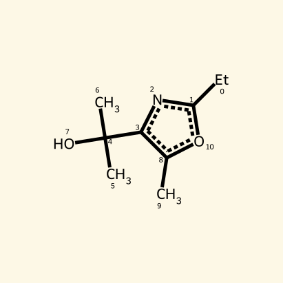 CCc1nc(C(C)(C)O)c(C)o1